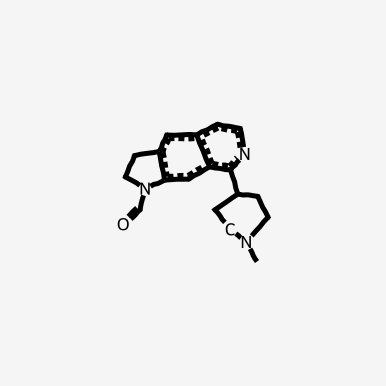 CN1CCC(c2nccc3cc4c(cc23)N(C=O)CC4)CC1